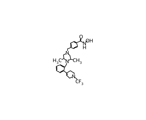 CC1CN(Cc2ccc(C(=O)NO)cc2)CC(C)N1Cc1ccccc1C1=CCN(CC(F)(F)F)CC1